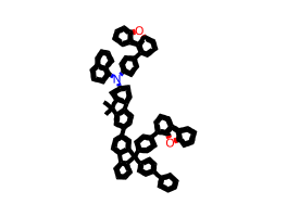 CC1(C)c2cc(-c3ccc4c(c3)C(c3ccc(-c5ccccc5)cc3)(c3ccc(-c5cccc6c5oc5ccccc56)cc3)c3ccccc3-4)ccc2-c2ccc(N(c3ccc(-c4cccc5oc6ccccc6c45)cc3)c3cccc4ccccc34)cc21